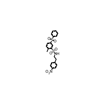 Cc1ccc(S(=O)(=O)c2ccccc2)cc1S(=O)(=O)NCCc1ccc([N+](=O)[O-])cc1